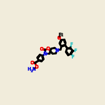 CCOc1ccc(-c2ccc(F)c(F)c2F)c(CN2CCC3(CC2)CN(c2ccc(C(=O)ON)cc2)C(=O)O3)c1